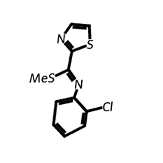 CS/C(=N\c1ccccc1Cl)c1nccs1